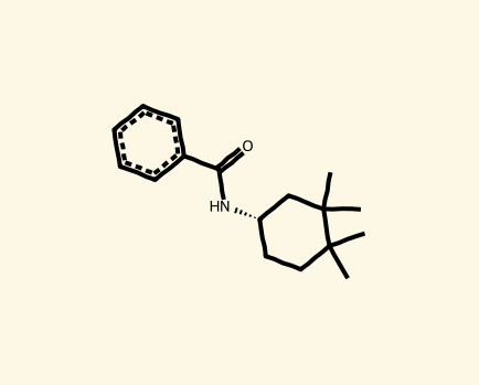 CC1(C)CC[C@H](NC(=O)c2ccccc2)CC1(C)C